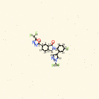 O=C1c2cc(-c3nnc(C(F)F)o3)ccc2CN1c1ccc(F)cc1-c1cnn(C(F)F)c1